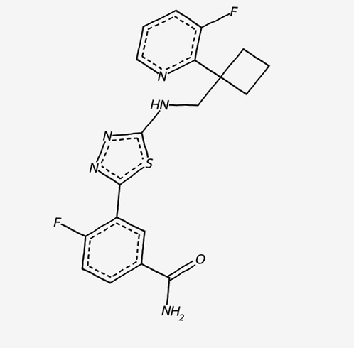 NC(=O)c1ccc(F)c(-c2nnc(NCC3(c4ncccc4F)CCC3)s2)c1